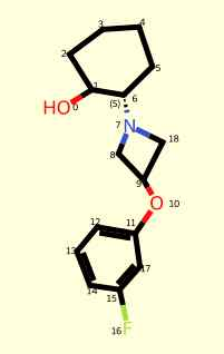 OC1CCCC[C@@H]1N1CC(Oc2cccc(F)c2)C1